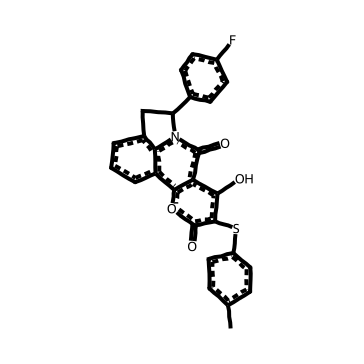 Cc1ccc(Sc2c(O)c3c(=O)n4c5c(cccc5c3oc2=O)CC4c2ccc(F)cc2)cc1